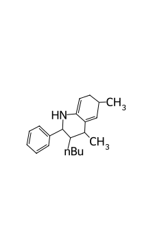 CCCCC1C(C)C2=CC(C)CC=C2NC1c1ccccc1